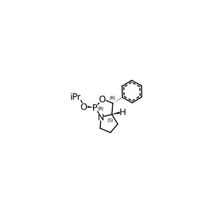 CC(C)O[P@@]1O[C@H](c2ccccc2)[C@@H]2CCCN21